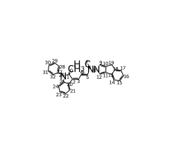 C=c1/c(=C\C=C\N(C)n2cc3c(c2)-c2ccccc2C3)c2ccccc2n1-c1ccccc1